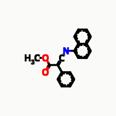 COC(=O)C(=C=Nc1cccc2ccccc12)c1ccccc1